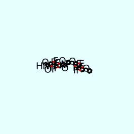 O=C1NC(=O)c2cc(C(c3ccc4c(c3)C(=O)N(c3ccc(Oc5ccc(C(c6cccc(Oc7ccccc7)c6)(C(F)(F)F)C(F)(F)F)cc5)cc3)C4=O)(C(F)(F)F)C(F)(F)F)ccc21